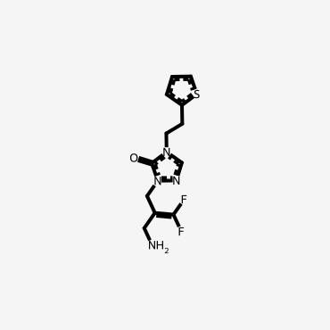 NCC(Cn1ncn(CCc2cccs2)c1=O)=C(F)F